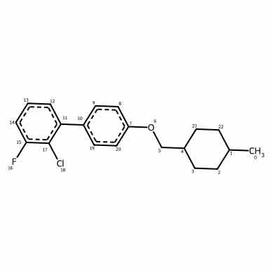 CC1CCC(COc2ccc(-c3cccc(F)c3Cl)cc2)CC1